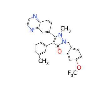 Cc1cccc(-c2c(-c3ccc4nccnc4c3)n(C)n(Cc3ccc(OC(F)(F)F)cc3)c2=O)c1